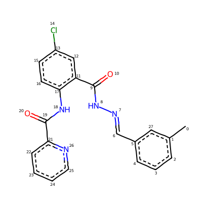 Cc1cccc(C=NNC(=O)c2cc(Cl)ccc2NC(=O)c2ccccn2)c1